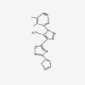 Cc1cccc(-n2nnc(-c3nc(-c4cccs4)no3)c2N)c1C